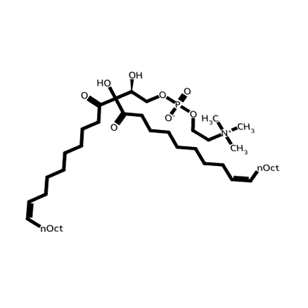 CCCCCCCC/C=C\CCCCCCCC(=O)C(O)(C(=O)CCCCCCC/C=C\CCCCCCCC)[C@@H](O)COP(=O)([O-])OCC[N+](C)(C)C